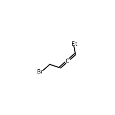 CCC=C=CCBr